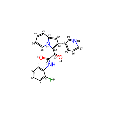 O=C(Nc1ccccc1F)C(=O)c1c(-c2cccnc2)cc2ccccn12